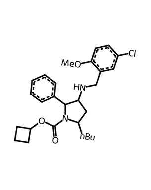 CCCCC1CC(NCc2cc(Cl)ccc2OC)C(c2ccccc2)N1C(=O)OC1CCC1